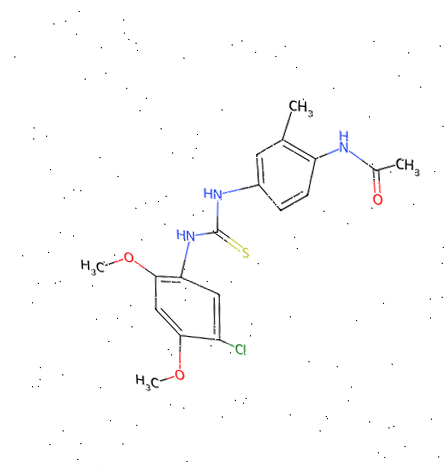 COc1cc(OC)c(NC(=S)Nc2ccc(NC(C)=O)c(C)c2)cc1Cl